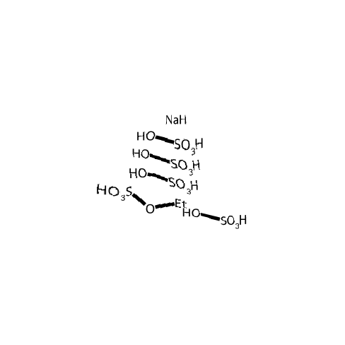 CCOS(=O)(=O)O.O=S(=O)(O)O.O=S(=O)(O)O.O=S(=O)(O)O.O=S(=O)(O)O.[NaH]